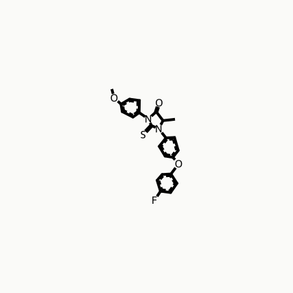 COc1ccc(N2C(=O)C(C)N(c3ccc(Oc4ccc(F)cc4)cc3)C2=S)cc1